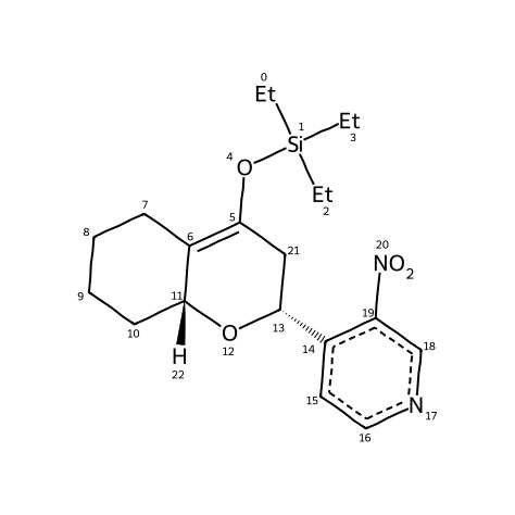 CC[Si](CC)(CC)OC1=C2CCCC[C@H]2O[C@@H](c2ccncc2[N+](=O)[O-])C1